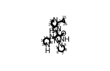 O=c1[nH]c(N2CCCCC2)nc(N[C@@H]2CCCNC2)c1-c1nc2c(C3CC3)nccc2s1